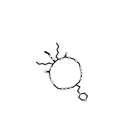 C=C=C=C=C1C(CCCCC)CC(=O)OCCCCCCCCC(CCN2CCOCC2)CCCCCCCCOC(=O)CC1CCCCC